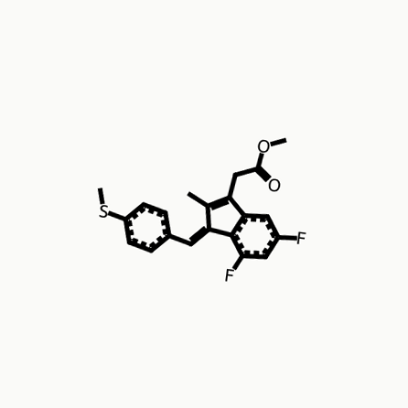 COC(=O)CC1=C(C)C(=Cc2ccc(SC)cc2)c2c(F)cc(F)cc21